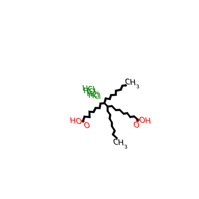 CCCCCCCCCC(CCCCCCCC(=O)O)C(CCCCCCCCC)CCCCCCCC(=O)O.Cl.Cl.Cl.Cl